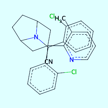 Cc1cccnc1C1(C#N)CC2CCC(C1)N2C(c1ccccc1Cl)c1ccccc1Cl